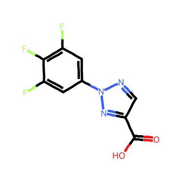 O=C(O)c1cnn(-c2cc(F)c(F)c(F)c2)n1